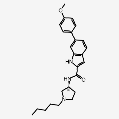 CCCCCN1CC[C@H](NC(=O)c2cc3ccc(-c4ccc(OC)cc4)cc3[nH]2)C1